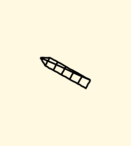 C1C2C3C1C1C4C1C1C5C3C2C5C41